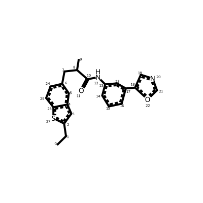 CCc1cc2cc(CC(C)C(=O)Nc3cccc(-c4cnco4)c3)ccc2s1